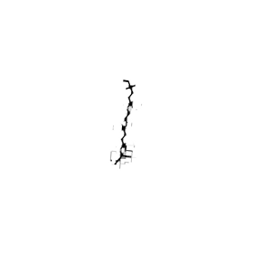 CCC(C)(C)CCC(=O)OCCOC(=O)CCC(=O)OC(C(F)(F)F)C(F)(F)F